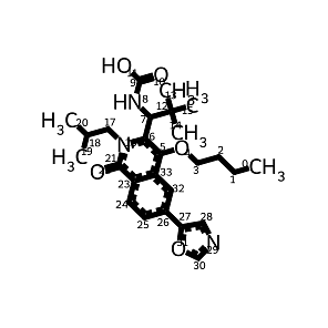 CCCCOc1c(C(NC(=O)O)C(C)(C)C)n(CC(C)C)c(=O)c2ccc(-c3cnco3)cc12